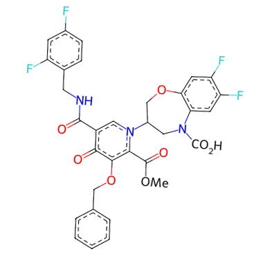 COC(=O)c1c(OCc2ccccc2)c(=O)c(C(=O)NCc2ccc(F)cc2F)cn1C1COc2cc(F)c(F)cc2N(C(=O)O)C1